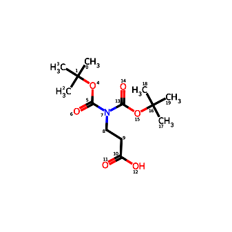 CC(C)(C)OC(=O)N(CCC(=O)O)C(=O)OC(C)(C)C